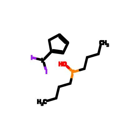 CCCCP(O)CCCC.[I][Ir]([I])[C]1=CC=CC1